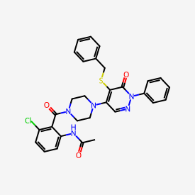 CC(=O)Nc1cccc(Cl)c1C(=O)N1CCN(c2cnn(-c3ccccc3)c(=O)c2SCc2ccccc2)CC1